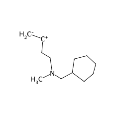 [CH2-][CH+]CCN(C)CC1CCCCC1